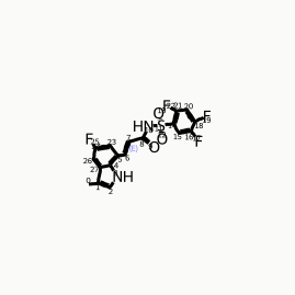 Cc1c[nH]c2c(/C=C/C(=O)NS(=O)(=O)c3cc(F)c(F)cc3F)cc(F)cc12